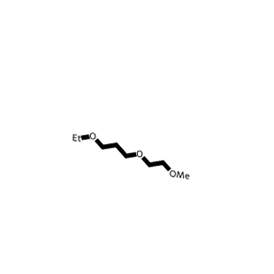 CCOCCCOCCOC